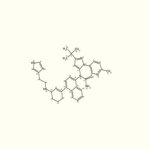 Cc1ccc(-n2nc(C(C)(C)C)cc2N(C(N)=O)c2ccc(C3=CC(NCCc4c[nH]cn4)CCC3)c3ccccc23)cn1